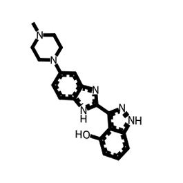 CN1CCN(c2ccc3[nH]c(-c4n[nH]c5cccc(O)c45)nc3c2)CC1